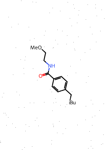 CCC(C)Cc1ccc(C(=O)NCCOC)cc1